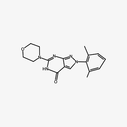 Cc1cccc(C)c1-n1cc2c(=O)[nH]c(N3CCOCC3)nc2n1